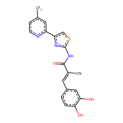 N#C/C(=C\c1ccc(O)c(O)c1)C(=O)Nc1nc(-c2cc(C(F)(F)F)ccn2)cs1